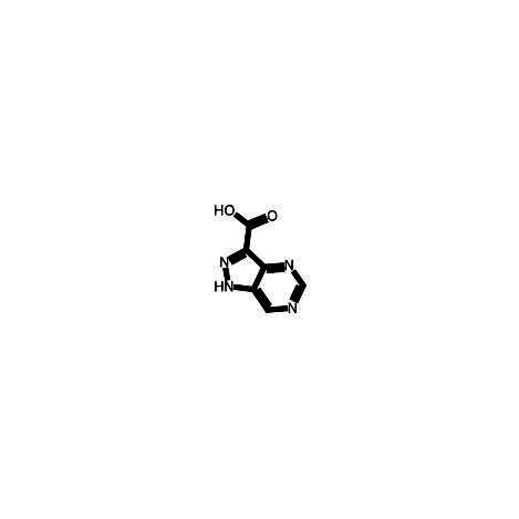 O=C(O)c1n[nH]c2cncnc12